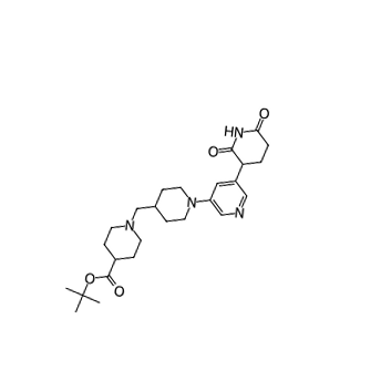 CC(C)(C)OC(=O)C1CCN(CC2CCN(c3cncc(C4CCC(=O)NC4=O)c3)CC2)CC1